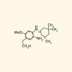 COc1cc(N[C@H]2C[C@@H](C)CC(C)(C)C2)c(N)cc1CC(=O)O